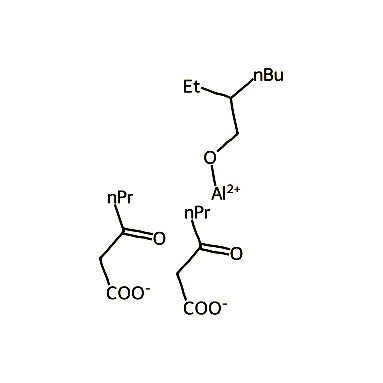 CCCC(=O)CC(=O)[O-].CCCC(=O)CC(=O)[O-].CCCCC(CC)C[O][Al+2]